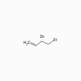 [CH2]CCCC=C.[Zn]